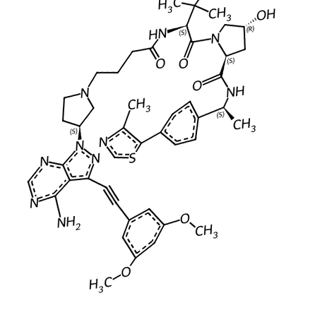 COc1cc(C#Cc2nn([C@H]3CCN(CCCC(=O)N[C@H](C(=O)N4C[C@H](O)C[C@H]4C(=O)N[C@@H](C)c4ccc(-c5scnc5C)cc4)C(C)(C)C)C3)c3ncnc(N)c23)cc(OC)c1